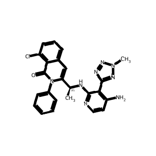 C[C@H](Nc1nccc(N)c1-c1nnn(C)n1)c1cc2cccc(Cl)c2c(=O)n1-c1ccccc1